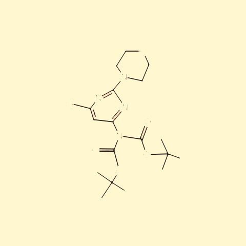 CC(C)(C)OC(=O)N(C(=O)OC(C)(C)C)c1cc(Cl)nc(N2CCOCC2)n1